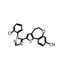 N#Cc1ccc2c(c1)OCCc1cc(-c3ncnn3-c3ccccc3Cl)sc1-2